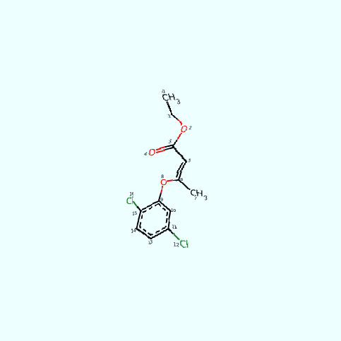 CCOC(=O)/C=C(/C)Oc1cc(Cl)ccc1Cl